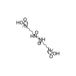 Cc1c(O)c(=O)ccn1CCCCCC(=O)NCCNC(=O)CCCCCn1ccc(=O)c(O)c1C